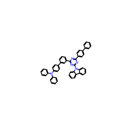 c1ccc(-c2ccc(-c3nc(-c4cccc(-c5ccc(N(c6ccccc6)c6ccccc6)cc5)c4)nc(-n4c5ccccc5c5ccccc54)n3)cc2)cc1